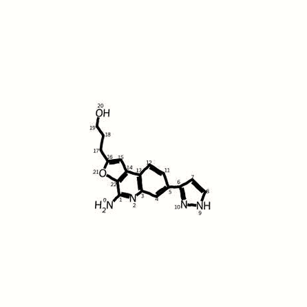 Nc1nc2cc(-c3cc[nH]n3)ccc2c2cc(CCCO)oc12